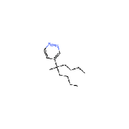 CCCCC(C)(CCCC)c1ccnnc1